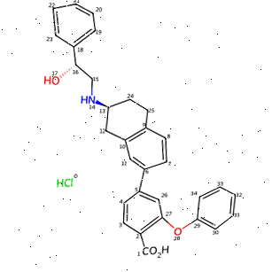 Cl.O=C(O)c1ccc(-c2ccc3c(c2)C[C@@H](NC[C@H](O)c2ccccc2)CC3)cc1Oc1ccccc1